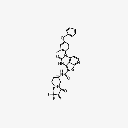 C=C(C(=O)N1CCC[C@@H](NC(=O)c2sc3nccc4c3c2NC(=O)N4c2ccc(Oc3ccccc3)cc2C)C1)C(F)(F)F